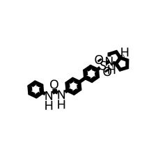 O=C(Nc1ccccc1)Nc1ccc(-c2ccc(S(=O)(=O)N3CC[C@H]4CCC[C@H]43)cc2)cc1